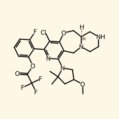 COC1CN(c2nc(-c3c(F)cccc3OC(=O)C(F)(F)F)c(Cl)c3c2CN2CCNC[C@@H]2CO3)C(C)(C)C1